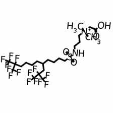 C[N+](C)(CCCNS(=O)(=O)CCCCC(CCCCC(F)(C(F)(F)F)C(F)(F)F)CC(F)(C(F)(F)F)C(F)(F)F)CC(=O)O